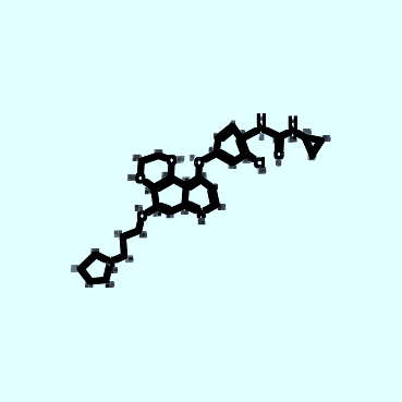 O=C(Nc1ccc(Oc2ccnc3cc(OCCCN4CCCC4)c4c(c23)OCCO4)cc1Cl)NC1CC1